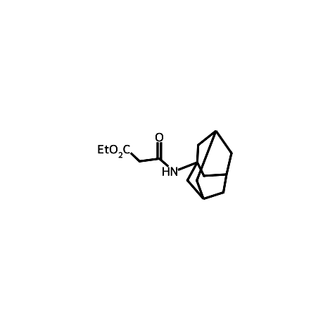 CCOC(=O)CC(=O)NC12CC3CC(CC(C3)C1)C2